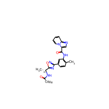 COC(=O)N[C@H](C)c1nc(-c2ccc(C)c(NC(=O)c3cnc4ccccn34)c2)no1